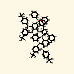 Cc1cc2c3c(c1)N1c4c(ccc5c4N(c4cc(N(c6ccccc6)c6ccccc6)cc6c4B5c4cc(C(C)(C)C)ccc4N6c4ccc(C(C)(C)C)cc4)c4c(-c5ccccc5)sc(-c5ccccc5)c41)B3c1ccc(C(C)(C)C)cc1N2c1ccc(C(C)(C)C)cc1